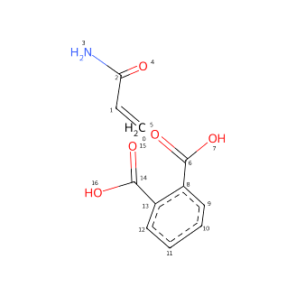 C=CC(N)=O.O=C(O)c1ccccc1C(=O)O